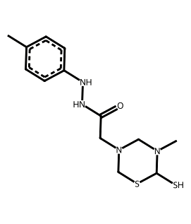 Cc1ccc(NNC(=O)CN2CSC(S)N(C)C2)cc1